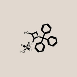 CC1C(O)CN1C(c1ccccc1)(c1ccccc1)c1ccccc1.CS(=O)(=O)O